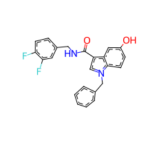 O=C(NCc1ccc(F)c(F)c1)c1cn(Cc2ccccc2)c2ccc(O)cc12